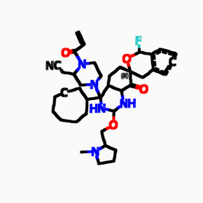 C=CC(=O)N1CCN(C2(C3CCCCCCC3)NC(OCC3CCCN3C)NC3C(=O)[C@@]4(CCC32)Cc2ccccc2C(F)O4)CC1CC#N